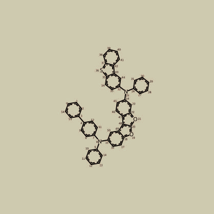 c1ccc(-c2ccc(N(c3ccccc3)c3ccc4oc5oc6cc(N(c7ccccc7)c7ccc8sc9ccccc9c8c7)ccc6c5c4c3)cc2)cc1